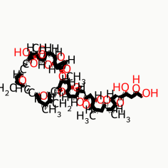 C=C1C[C@@H]2CC[C@]34OC5[C@@H]6O[C@H]7CC[C@H](CC(=O)O[C@@H]8[C@@H](C)[C@@H]9O[C@@H]%10C[C@]%11(C[C@@H]%12O[C@]%13(C[C@H](C)[C@@H]%14O[C@H]([C@@H](O)C[C@@H](O)CO)C[C@@H]%14O%13)C[C@H](C)[C@@H]%12O%11)O[C@@H]%10C[C@@H]9O[C@H]8C[C@H]8O[C@@H](CC[C@@H]1O2)C[C@@H](C)C8=C)O[C@@H]7[C@H](O3)[C@@H]6O[C@@]5(C)[C@H]4O